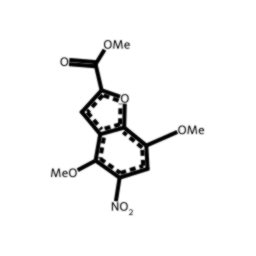 COC(=O)c1cc2c(OC)c([N+](=O)[O-])cc(OC)c2o1